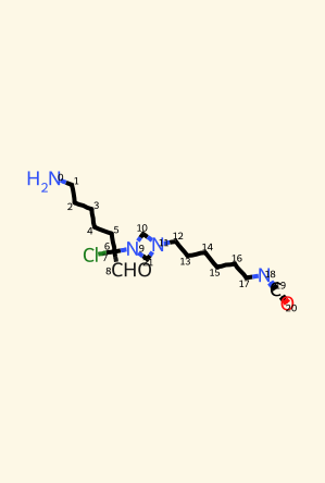 NCCCCCC(Cl)(C=O)N1CN(CCCCCCN=C=O)C1